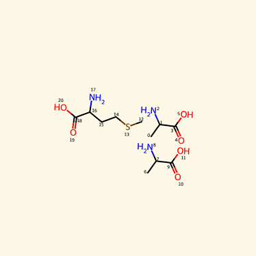 CC(N)C(=O)O.CC(N)C(=O)O.CSCCC(N)C(=O)O